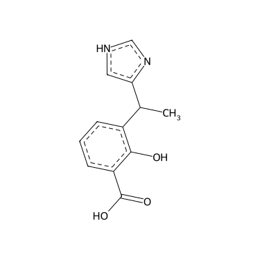 CC(c1c[nH]cn1)c1cccc(C(=O)O)c1O